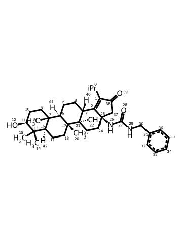 CC(C)C1=C2[C@H]3CC[C@@H]4[C@@]5(C)CC[C@H](O)C(C)(C)[C@@H]5CC[C@@]4(C)[C@]3(C)CC[C@@]2(NC(=O)NCc2ccccc2)CC1=O